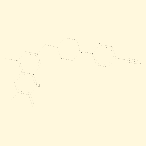 Cc1nc2c(F)cc(CN3CCN(c4ccc(C#N)cn4)CC3)cc2[nH]c1=O